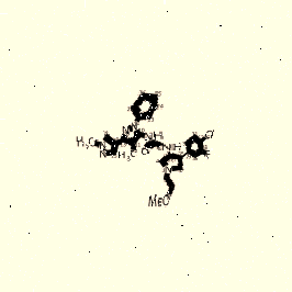 COCCN1C[C@H](NC(=O)Nc2c(C)c(-c3cnn(C)c3)nn2-c2ccccc2)[C@@H](c2ccc(Cl)c(F)c2)C1